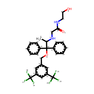 CC(NCC(=O)NCCO)C(OCc1cc(C(F)(F)F)cc(C(F)(F)F)c1)(c1ccccc1)c1ccccc1